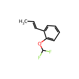 CC=Cc1ccccc1OC(F)F